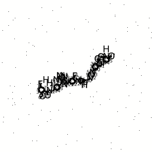 COc1ccc(F)cc1C(=O)NCc1ccc(-c2nn(-c3ccc(N4CC5[C@@H](C4)[C@H]5CN4CCN(c5ccc6c(c5)CN([C@H]5CCC(=O)NC5=O)C6=O)CC4)c(F)c3)c3ncnc(N)c23)cc1